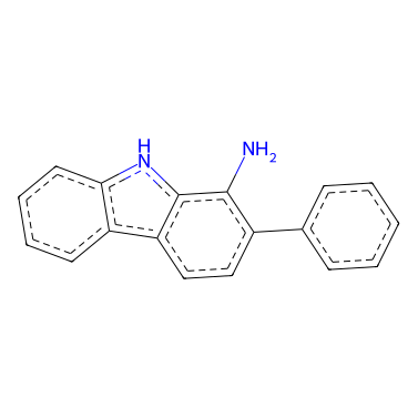 Nc1c(-c2ccccc2)ccc2c1[nH]c1ccccc12